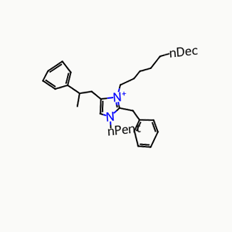 CCCCCCCCCCCCCCC[n+]1c(CC(C)c2ccccc2)cn(CCCCC)c1Cc1ccccc1